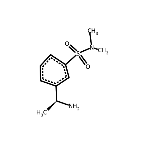 C[C@H](N)c1cccc(S(=O)(=O)N(C)C)c1